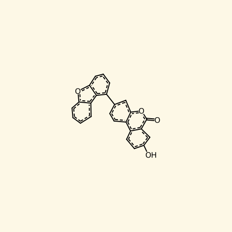 O=c1oc2cc(-c3cccc4oc5ccccc5c34)ccc2c2ccc(O)cc12